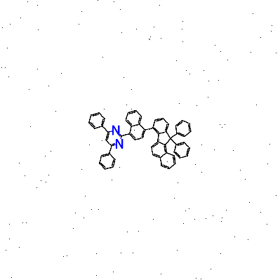 c1ccc(-c2cc(-c3ccccc3)nc(-c3ccc(-c4cccc5c4-c4ccc6ccccc6c4C5(c4ccccc4)c4ccccc4)c4ccccc34)n2)cc1